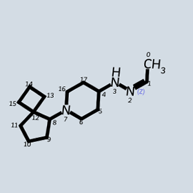 C/C=N\NC1CCN(C2CCCC23CCC3)CC1